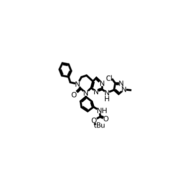 Cn1cc(Nc2ncc3c(n2)N(c2cccc(NC(=O)OC(C)(C)C)c2)C(=O)N(Cc2ccccc2)CC3)c(Cl)n1